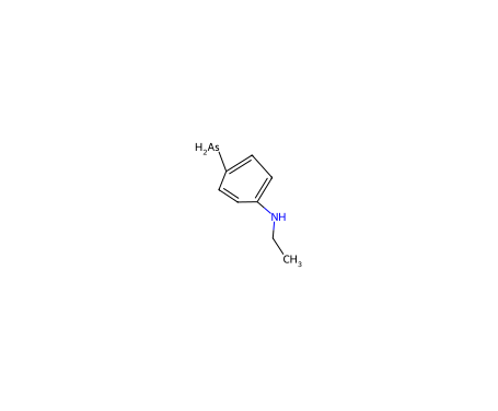 CCNc1ccc([AsH2])cc1